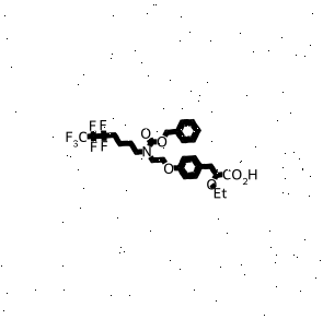 CCOC(Cc1ccc(OCCN(CCCCC(F)(F)C(F)(F)C(F)(F)F)C(=O)OCc2ccccc2)cc1)C(=O)O